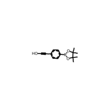 CC1(C)OB(c2ccc(C#CO)cc2)OC1(C)C